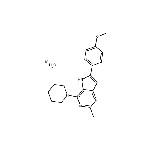 CSc1ccc(-c2cc3nc(C)nc(N4CCCCC4)c3[nH]2)cc1.Cl.O